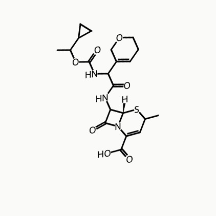 CC1C=C(C(=O)O)N2C(=O)C(NC(=O)C(NC(=O)OC(C)C3CC3)C3=CCCOC3)[C@@H]2S1